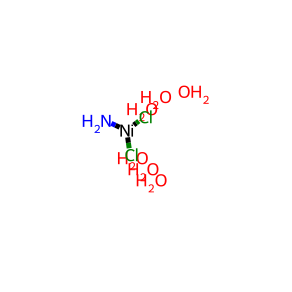 O.O.O.O.O.O.[NH2][Ni]([Cl])[Cl]